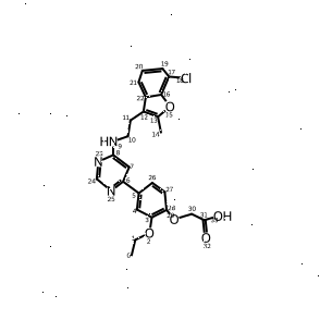 CCOc1cc(-c2cc(NCCc3c(C)oc4c(Cl)cccc34)ncn2)ccc1OCC(=O)O